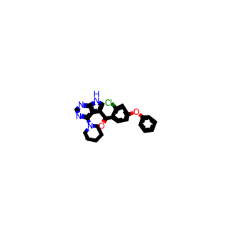 O=C(c1ccc(Oc2ccccc2)cc1Cl)c1c[nH]c2ncnc(N3C[CH]CCC3)c12